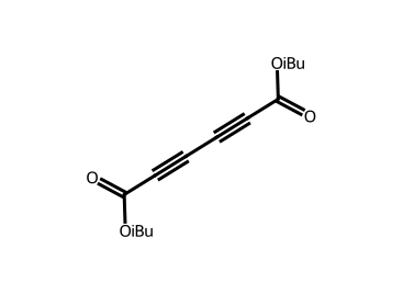 CC(C)COC(=O)C#CC#CC(=O)OCC(C)C